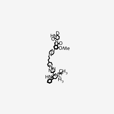 COc1cc(N2CCN(CCCC3CCN(c4ncc([C@@H]5c6[nH]c7ccccc7c6CCN5CC(C)(C)F)cn4)CC3)CC2)cc2c1C(=O)N(C1CCC(=O)NC1=O)C2